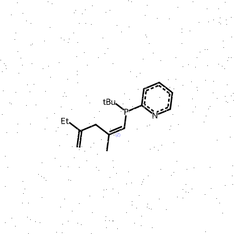 C=C(CC)C/C(C)=C\P(c1ccccn1)C(C)(C)C